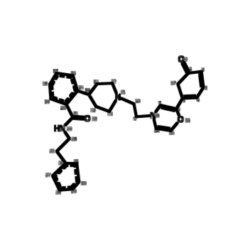 O=C1C=CC=C(C2=CN(CCN3CCC(c4ccccc4C(=O)NCCc4ccccc4)CC3)C=CO2)C1